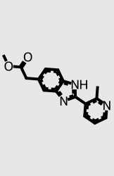 COC(=O)Cc1ccc2[nH]c(-c3cccnc3C)nc2c1